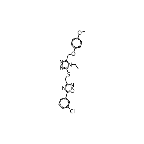 CCn1c(COc2ccc(OC)cc2)nnc1SCc1noc(-c2cccc(Cl)c2)n1